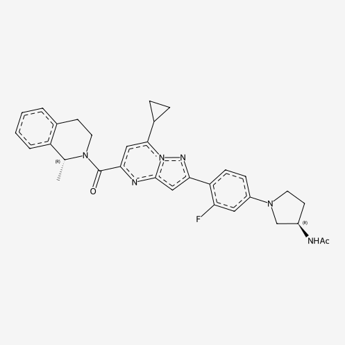 CC(=O)N[C@@H]1CCN(c2ccc(-c3cc4nc(C(=O)N5CCc6ccccc6[C@H]5C)cc(C5CC5)n4n3)c(F)c2)C1